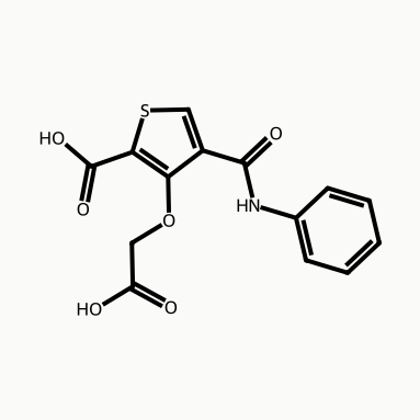 O=C(O)COc1c(C(=O)Nc2ccccc2)csc1C(=O)O